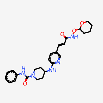 O=C(/C=C/c1ccc(NC2CCN(C(=O)Nc3ccccc3)CC2)nc1)NOC1CCCCO1